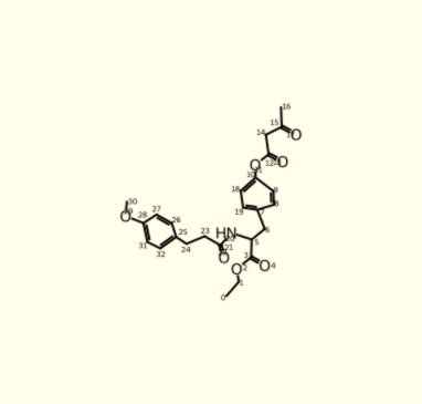 CCOC(=O)C(Cc1ccc(OC(=O)CC(C)=O)cc1)NC(=O)CCc1ccc(OC)cc1